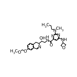 CCCN(C)c1nc(NC2COC2)cc(C(=O)NC[C@@H](O)C2Cc3ccc(OCOC)cc3C=N2)n1